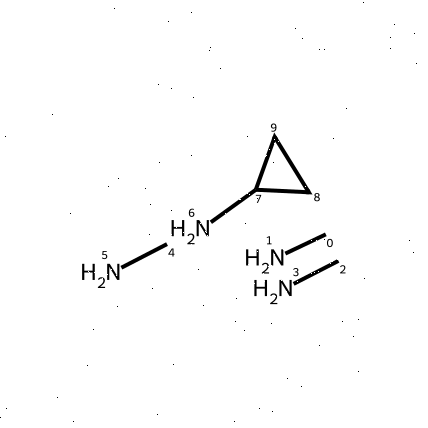 CN.CN.CN.NC1CC1